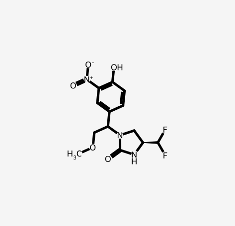 COCC(c1ccc(O)c([N+](=O)[O-])c1)N1C[C@@H](C(F)F)NC1=O